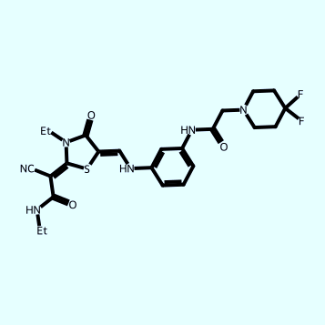 CCNC(=O)C(C#N)=c1sc(=CNc2cccc(NC(=O)CN3CCC(F)(F)CC3)c2)c(=O)n1CC